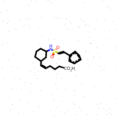 O=C(O)CCC/C=C\C1CCCC(NS(=O)(=O)C=Cc2ccccc2)C1